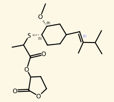 CO[C@@H]1CC(/C=C(\C)C(C)C)CC[C@@H]1SC(C)C(=O)OC1CCOC1=O